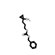 CC1(CCCOC(=O)OCc2ccccc2)CC1